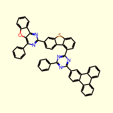 c1ccc(-c2nc(-c3ccc4c5ccccc5c5ccccc5c4c3)nc(-c3cccc4sc5cc(-c6nc(-c7ccccc7)c7oc8ccccc8c7n6)ccc5c34)n2)cc1